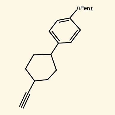 C#CC1CCC(c2ccc(CCCCC)cc2)CC1